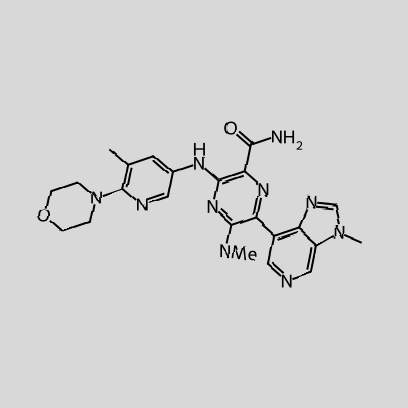 CNc1nc(Nc2cnc(N3CCOCC3)c(C)c2)c(C(N)=O)nc1-c1cncc2c1ncn2C